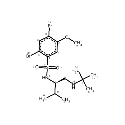 COc1cc(S(=O)(=O)N[C@@H](CNC(C)(C)C)C(C)C)c(Br)cc1Br